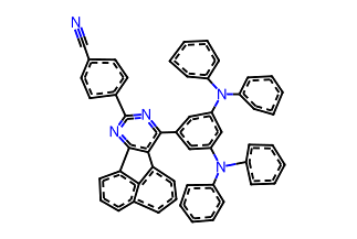 N#Cc1ccc(-c2nc(-c3cc(N(c4ccccc4)c4ccccc4)cc(N(c4ccccc4)c4ccccc4)c3)c3c(n2)-c2cccc4cccc-3c24)cc1